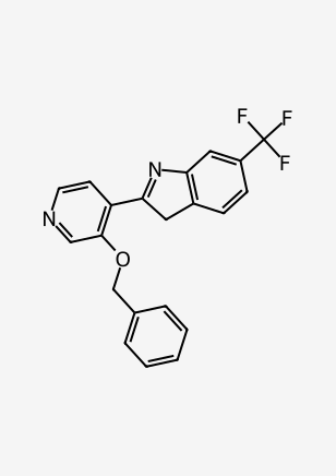 FC(F)(F)c1ccc2c(c1)N=C(c1ccncc1OCc1ccccc1)C2